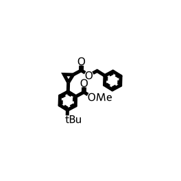 COC(=O)c1cc(C(C)(C)C)ccc1C1CC1C(=O)OCc1ccccc1